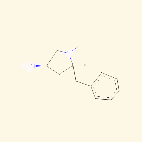 N[C@H]1CN(C(=O)O)[C@](Cc2ccccc2)(C(=O)O)C1